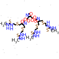 CNC(=S)NCCSCc1nc(OC(=O)c2ncoc2C(=O)Oc2nc(CSCCNC(=S)NC)c(CSCCNC(=S)NC)o2)oc1CSCCNC(=S)NC